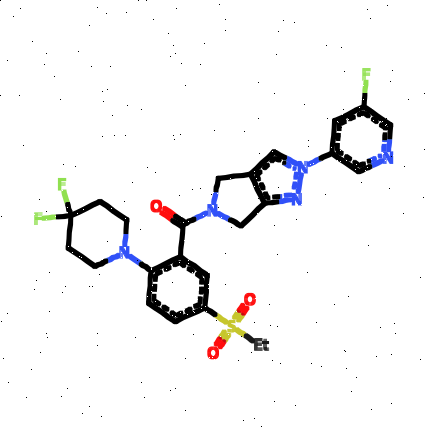 CCS(=O)(=O)c1ccc(N2CCC(F)(F)CC2)c(C(=O)N2Cc3cn(-c4cncc(F)c4)nc3C2)c1